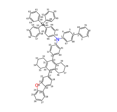 c1ccc(-c2ccc(N(c3ccc(-c4c5c(c(-c6ccc7c(c6)oc6ccccc67)c6c4CCCC6)CCCC5)cc3)c3ccc([Si](c4ccccc4)(c4ccccc4)c4ccccc4)cc3)cc2)cc1